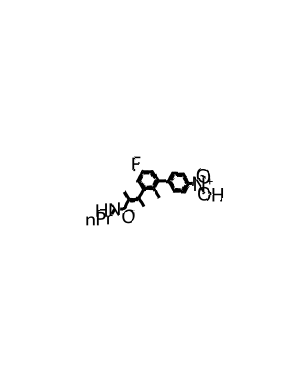 CCCNC(=O)/C(C)=C(\C)c1cc(F)cc(-c2ccc([N+](=O)O)cc2)c1C